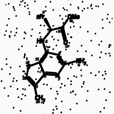 CCC[C@H](Nc1cc(N)nc2c(C)csc12)C(=O)OC